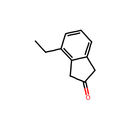 CCc1cccc2c1CC(=O)C2